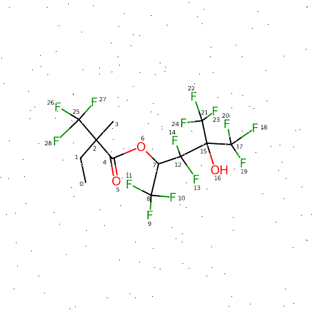 CCC(C)(C(=O)OC(C(F)(F)F)C(F)(F)C(O)(C(F)(F)F)C(F)(F)F)C(F)(F)F